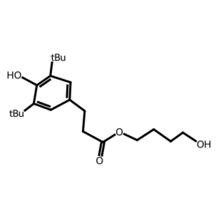 CC(C)(C)c1cc(CCC(=O)OCCCCO)cc(C(C)(C)C)c1O